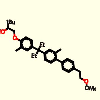 CCC(CC)(c1ccc(OCC(O)C(C)(C)C)c(C)c1)c1ccc(-c2ccc(CCOOC)cc2)c(C)c1